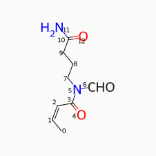 C/C=C\C(=O)N(C=O)CCCC(N)=O